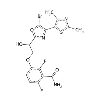 Cc1nc(C)c(-c2nc(C(O)COc3ccc(F)c(C(N)=O)c3F)oc2Br)s1